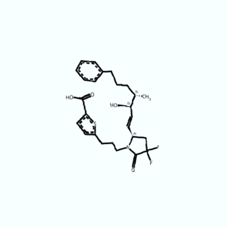 C[C@@H](CCCc1ccccc1)[C@H](O)C=C[C@H]1CC(F)(F)C(=O)N1CCCc1ccc(C(=O)O)s1